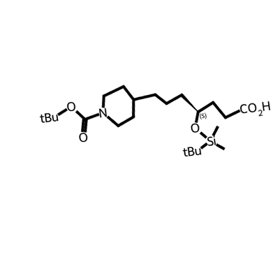 CC(C)(C)OC(=O)N1CCC(CCC[C@@H](CCC(=O)O)O[Si](C)(C)C(C)(C)C)CC1